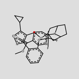 COC(=O)c1ccc(N2C3CCC2CC(OCc2c(-c4ccccc4OC(F)(F)F)noc2C2CC2)C3)nc1